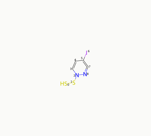 SSN1C=CC(I)=C=N1